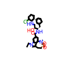 CCn1cc2c3c(cc(C(=O)N[C@@H](Cc4ccccc4)[C@H](O)CNc4ccccc4Cl)cc31)N(C)S(=O)(=O)CC2